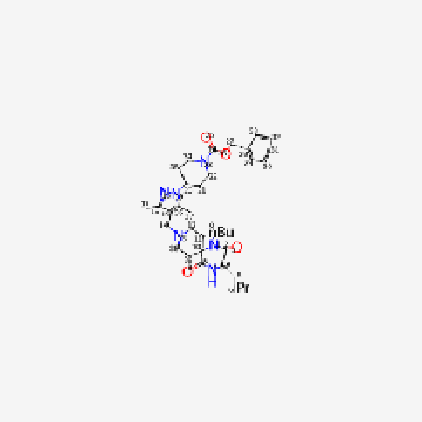 CCCCN1C(=O)[C@H](CC(C)C)NC(=O)C12CCN(Cc1c(C)nn(C3CCN(C(=O)OCc4ccccc4)CC3)c1C)CC2